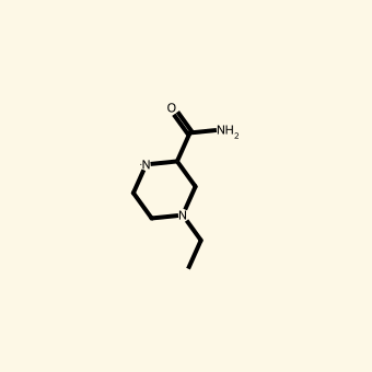 CCN1CC[N]C(C(N)=O)C1